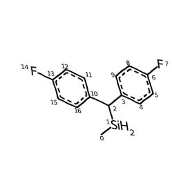 C[SiH2]C(c1ccc(F)cc1)c1ccc(F)cc1